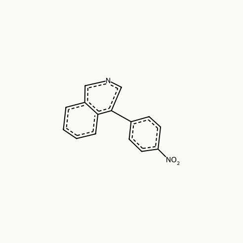 O=[N+]([O-])c1ccc(-c2cncc3ccccc23)cc1